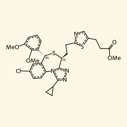 COC(=O)CCc1cnc(CC[C@@H]2S[C@@H](c3cccc(OC)c3OC)c3cc(Cl)ccc3-n3c(C4CC4)nnc32)s1